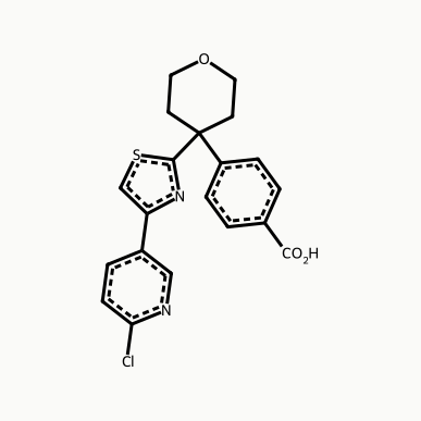 O=C(O)c1ccc(C2(c3nc(-c4ccc(Cl)nc4)cs3)CCOCC2)cc1